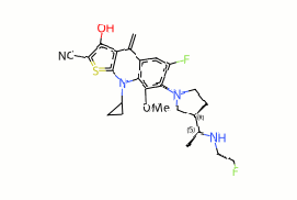 C=C1c2cc(F)c(N3CC[C@@H]([C@H](C)NCCF)C3)c(OC)c2N(C2CC2)c2sc(C#N)c(O)c21